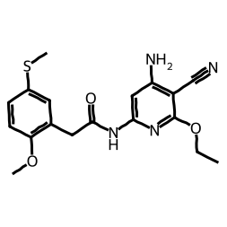 CCOc1nc(NC(=O)Cc2cc(SC)ccc2OC)cc(N)c1C#N